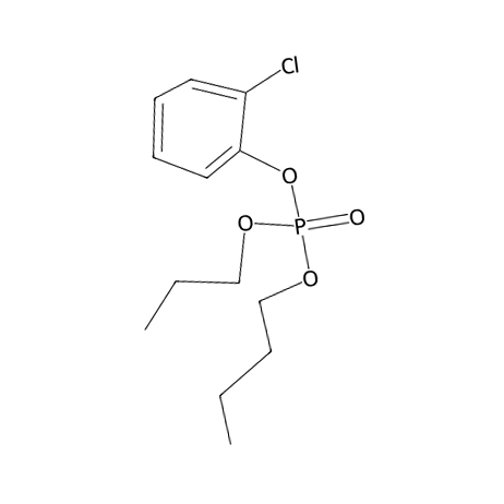 CCCCOP(=O)(OCCC)Oc1ccccc1Cl